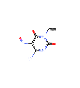 C=Cn1c(=O)[nH]c(N)c(N=O)c1=O